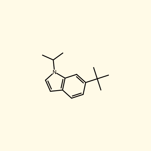 CC(C)n1ccc2ccc(C(C)(C)C)cc21